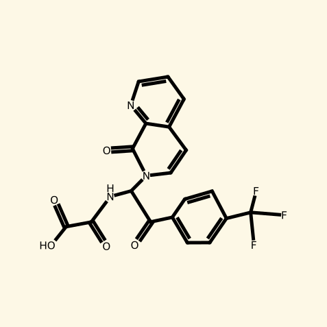 O=C(O)C(=O)NC(C(=O)c1ccc(C(F)(F)F)cc1)n1ccc2cccnc2c1=O